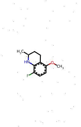 COc1ccc(F)c2c1CCC(C)N2